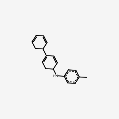 Cc1ccc(NC2C=CC(C3C=CC=CC3)=CC2)cc1